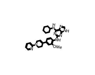 COc1cc(C2=CCN(c3ccccn3)CC2)ccc1Nc1nc(NC2CCCCC2)c2nc[nH]c2n1